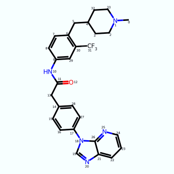 CN1CCC(Cc2ccc(NC(=O)Cc3ccc(-n4cnc5cccnc54)cc3)cc2C(F)(F)F)CC1